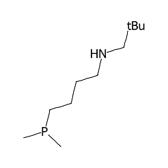 CP(C)CCCCNCC(C)(C)C